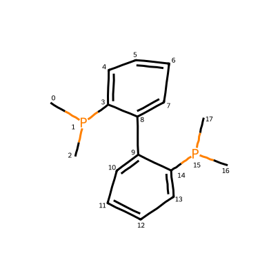 CP(C)c1ccccc1-c1ccccc1P(C)C